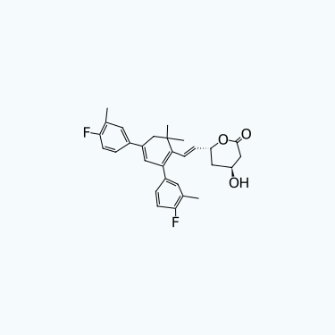 Cc1cc(C2=CC(c3ccc(F)c(C)c3)=C(C=C[C@H]3C[C@H](O)CC(=O)O3)C(C)(C)C2)ccc1F